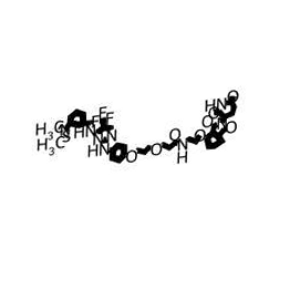 CSN(C)c1cccc(CNc2nc(Nc3ccc(OCCCOCCC(=O)NCCOc4cccc5c4C(=O)N(C4CCC(=O)NC4=O)C5=O)cc3)ncc2C(F)(F)F)c1